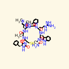 C=N/C=C(/C[C@@H]1NC(=O)[C@@H](C)NC(=O)[C@@H](N2C(=O)N[C@@H](Cc3ccccc3)C2=O)CSSC[C@@H](C(N)=O)NC(=O)[C@H](Cc2c[nH]c3ccccc23)NC(=O)[C@H](CCCNC(=N)N)NC(=O)[C@@H](Cc2ccccc2)NC1=O)NC